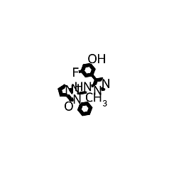 C[C@H](Nc1ncncc1-c1cc(O)cc(F)c1)c1nn2cccc2c(=O)n1-c1ccccc1